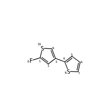 Fc1cc(-c2cccs2)cs1